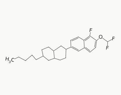 CCCCCC1CCC2CC(c3ccc4c(F)c(OC(F)F)ccc4c3)CCC2C1